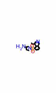 CCc1cncc2cccc(S(=O)(=O)N3CC[C@@H](N)C3)c12